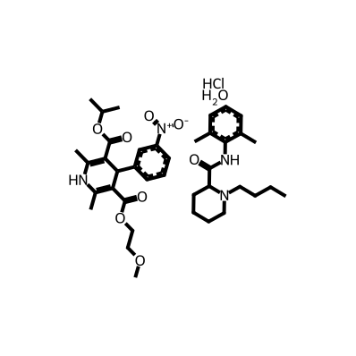 CCCCN1CCCCC1C(=O)Nc1c(C)cccc1C.COCCOC(=O)C1=C(C)NC(C)=C(C(=O)OC(C)C)C1c1cccc([N+](=O)[O-])c1.Cl.O